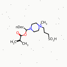 C=C(C)C(=O)OC(CCCCCCCCCC)N1CC[N+](C)(CCCS(=O)(=O)O)CC1